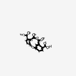 O=C(O)c1ccc2cc1c(=O)oc(=O)c1cc(ccc1C(=O)O)o2